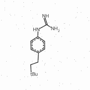 CC(C)(C)CCc1ccc(NC(=N)N)cc1